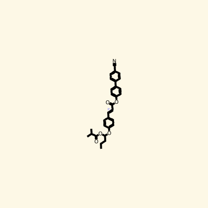 CCCC(OC(=O)C(C)C)Oc1ccc(/C=C/C(=O)Oc2ccc(-c3ccc(C#N)cc3)cc2)cc1